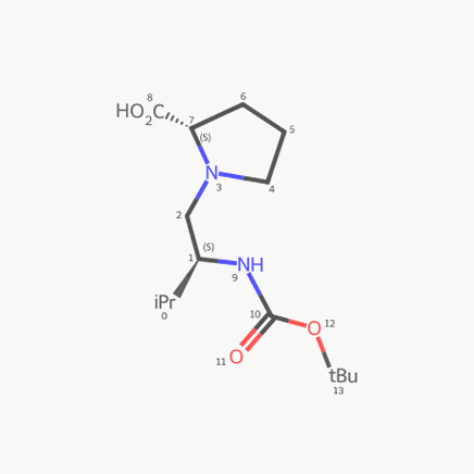 CC(C)[C@@H](CN1CCC[C@H]1C(=O)O)NC(=O)OC(C)(C)C